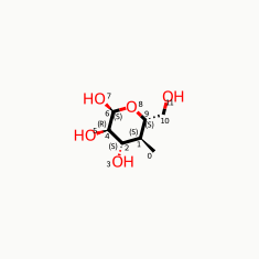 C[C@H]1[C@H](O)[C@@H](O)[C@@H](O)O[C@@H]1CO